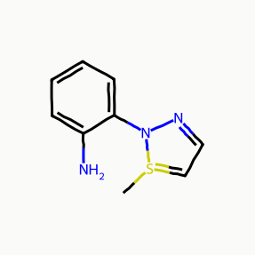 CS1=CC=NN1c1ccccc1N